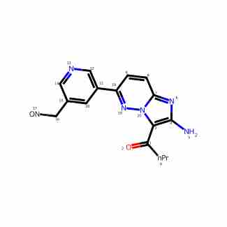 CCCC(=O)c1c(N)nc2ccc(-c3cncc(CN=O)c3)nn12